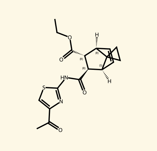 CCOC(=O)[C@H]1[C@H](C(=O)Nc2nc(C(C)=O)cs2)[C@@H]2C=C[C@H]1C21CC1